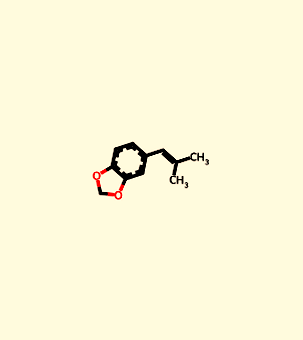 CC(C)=Cc1ccc2c(c1)OCO2